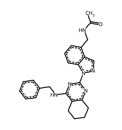 CC(=O)NCc1cccc2c1cnn2-c1nc2c(c(NCc3ccccc3)n1)CCCC2